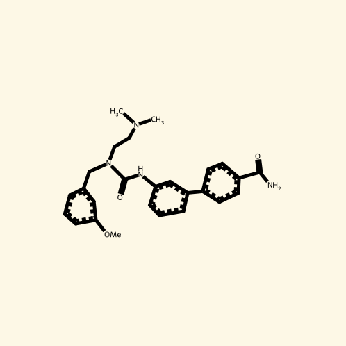 COc1cccc(CN(CCN(C)C)C(=O)Nc2cccc(-c3ccc(C(N)=O)cc3)c2)c1